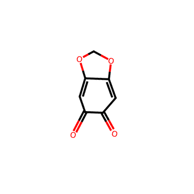 O=C1C=C2OCOC2=CC1=O